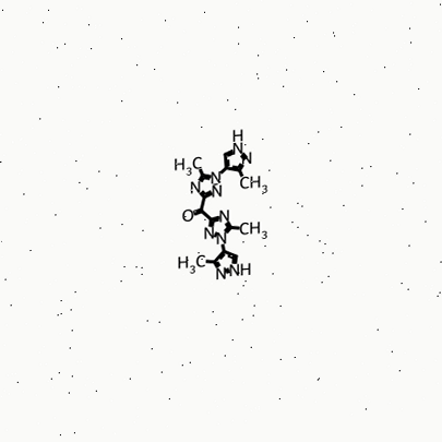 Cc1n[nH]cc1-n1nc(C(=O)c2nc(C)n(-c3c[nH]nc3C)n2)nc1C